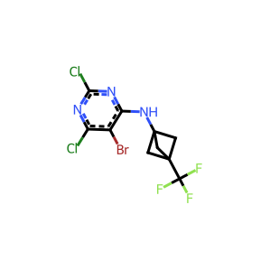 FC(F)(F)C12CC(Nc3nc(Cl)nc(Cl)c3Br)(C1)C2